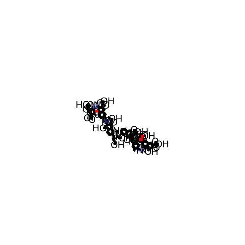 Cc1cc(N=Nc2c(S(=O)(=O)O)cc3ccc(N=Nc4c(N(CCO)CCO)ccc5c(O)c(/N=N/c6ccc7c(O)c(/N=N\c8ccc([N+](=O)[O-])cc8S(=O)(=O)O)c(S(=O)(=O)O)cc7c6)c(S(=O)(=O)O)cc45)cc3c2O)c(OCC(=O)O)cc1/N=N\c1cc(S(=O)(=O)O)cc2cc(S(=O)(=O)O)cc(O)c12